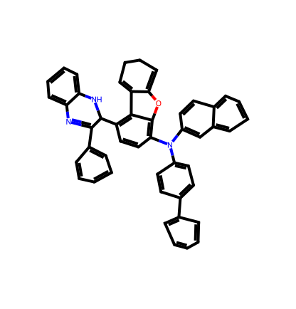 C1=c2oc3c(N(c4ccc(-c5ccccc5)cc4)c4ccc5ccccc5c4)ccc(C4Nc5ccccc5N=C4c4ccccc4)c3c2=CCC1